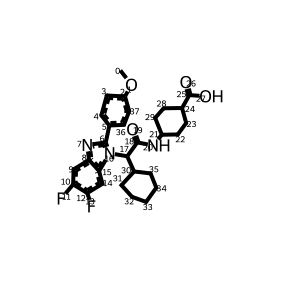 COc1ccc(-c2nc3cc(F)c(F)cc3n2C(C(=O)NC2CCC(C(=O)O)CC2)C2CCCCC2)cc1